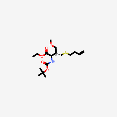 C=CCCSC[C@@H](COC)C(NC(=O)OC(C)(C)C)C(=O)OCC